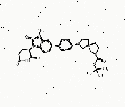 Cn1c(=O)n(C2CCC(=O)NC2=O)c2ccc(-c3ccc(N4CCC5(CCN(C(=O)OC(C)(C)C)C5)C4)cc3)cc21